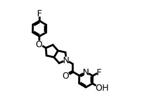 O=C(CN1CC2CC(Oc3ccc(F)cc3)CC2C1)c1ccc(O)c(F)n1